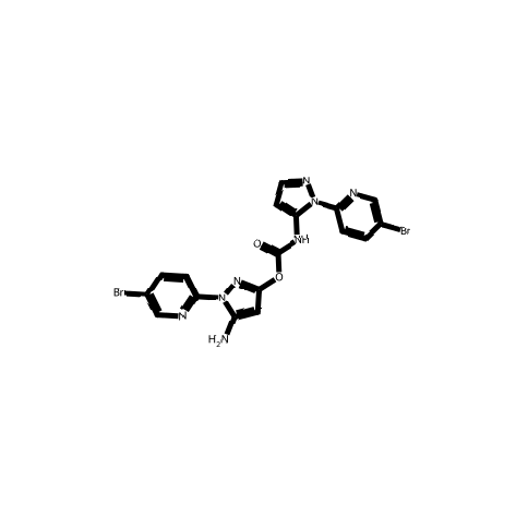 Nc1cc(OC(=O)Nc2ccnn2-c2ccc(Br)cn2)nn1-c1ccc(Br)cn1